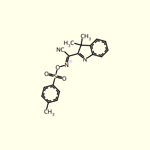 Cc1ccc(S(=O)(=O)O/N=C(\C#N)C2=Nc3ccccc3C2(C)C)cc1